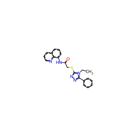 CCn1c(SCC(=O)Nc2cccc3cccnc23)nnc1-c1ccccc1